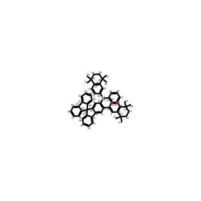 Cc1cc2c(cc1-c1cc3c(cc1N(c1ccccc1)c1ccc4c(c1)C(C)(C)CCC4(C)C)C1(c4ccccc4-c4ccccc41)c1ccccc1-3)C(C)(C)CCC2(C)C